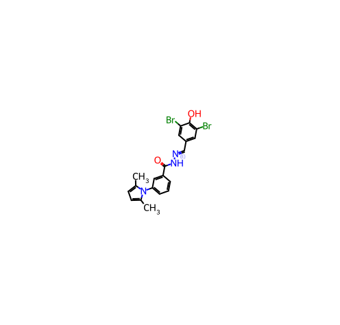 Cc1ccc(C)n1-c1cccc(C(=O)N/N=C/c2cc(Br)c(O)c(Br)c2)c1